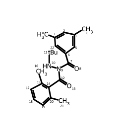 Cc1cc(C)cc(C(=O)N(NC(C)(C)C)C(=O)c2c(C)cccc2C)c1